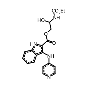 CCOC(=O)NC(O)COC(=O)c1[nH]c2ccccc2c1Nc1ccncc1